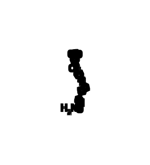 NC(=O)c1ccc(-c2ccc3c(c2)CC[C@H]3N2CC3(CCN(C(=O)Cc4ccc5c(c4)OCCO5)CC3)C2)cn1